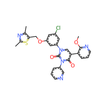 COc1ncccc1-c1cn(-c2cc(Cl)cc(OCc3sc(C)nc3C)c2)c(=O)n(-c2cccnc2)c1=O